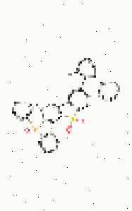 Cc1ccccc1-c1cc2c(cc1-c1ccccc1)S(=O)(=O)C1=C2CC(C)C(P(=O)(c2ccccc2)c2ccccc2)=C1